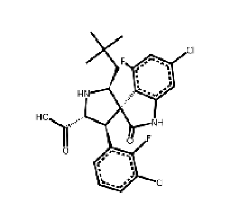 CC(C)(C)C[C@@H]1N[C@@H](C(=O)O)[C@H](c2cccc(Cl)c2F)[C@]12C(=O)Nc1cc(Cl)cc(F)c12